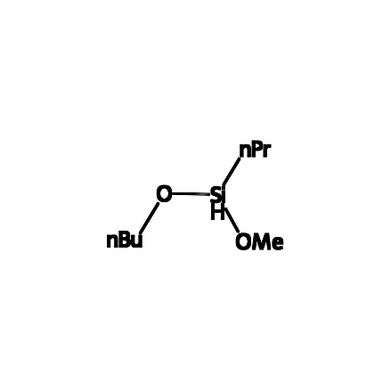 CCCCO[SiH](CCC)OC